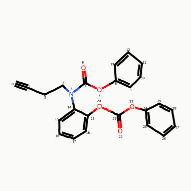 C#CCCN(C(=O)Oc1ccccc1)c1ccccc1OC(=O)Oc1ccccc1